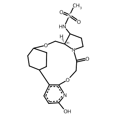 CS(=O)(=O)NC1CCN2C(=O)COc3nc(O)ccc3C3CCC(CC3)OC[C@@H]12